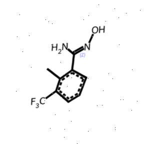 Cc1c(/C(N)=N/O)cccc1C(F)(F)F